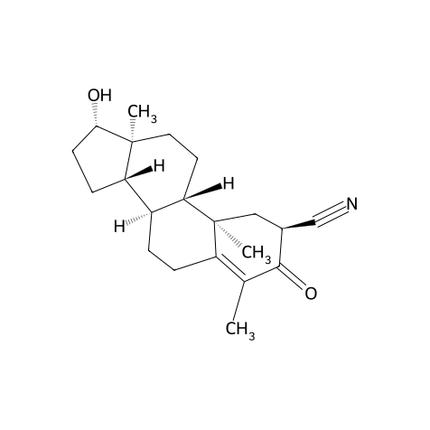 CC1=C2CC[C@H]3[C@@H]4CC[C@H](O)[C@@]4(C)CC[C@@H]3[C@@]2(C)C[C@@H](C#N)C1=O